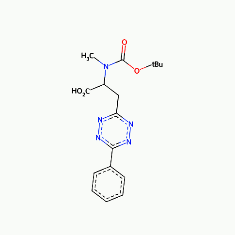 CN(C(=O)OC(C)(C)C)C(Cc1nnc(-c2ccccc2)nn1)C(=O)O